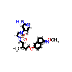 CO/N=C1\CCc2cc(OCCC(C)CCN3CCN(c4ccnc(N)c4)S3(=O)=O)ccc21